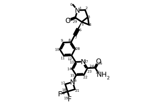 CN1CC2C[C@]2(C#Cc2cccc(-c3cc(N4CC(F)(F)C4)cc(C(N)=O)n3)c2)C1=O